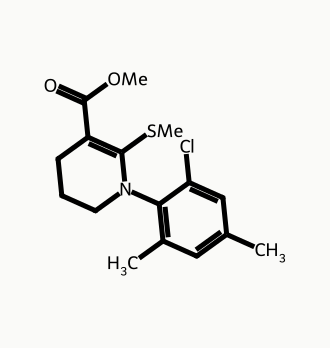 COC(=O)C1=C(SC)N(c2c(C)cc(C)cc2Cl)CCC1